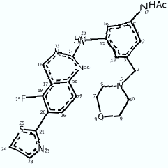 CC(=O)Nc1cc(CN2CCOCC2)cc(Nc2ncc3c(F)c(-c4nccs4)ccc3n2)c1